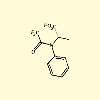 C[C@@H](C(=O)O)N(C(=O)C(F)(F)F)c1ccccc1